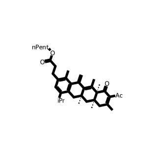 C=C1C2=C(C)[C@@]3(C)C(=O)C(C(C)=O)=C(C)C[C@@]3(C)C[C@@]2(C)Cc2c(C(C)C)cc(CCC(=O)OCCCCC)c(C)c21